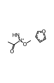 CO[N+](=N)C(C)=O.c1ccoc1